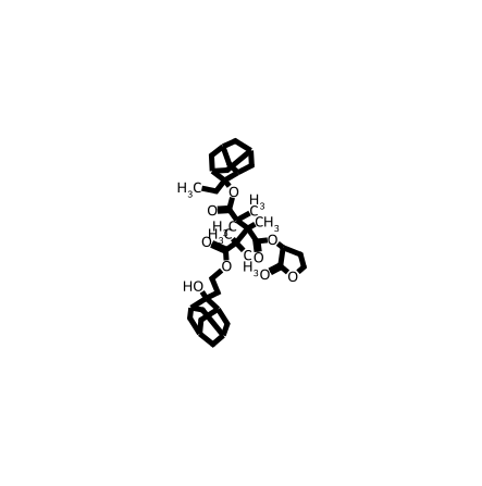 CCC1(OC(=O)C(C)(C)C(C)(C(=O)OC2CCOC2=O)C(C)(C)C(=O)OCCC2(O)C3CC4CC(C3)CC2C4)C2CC3CC(C2)CC1C3